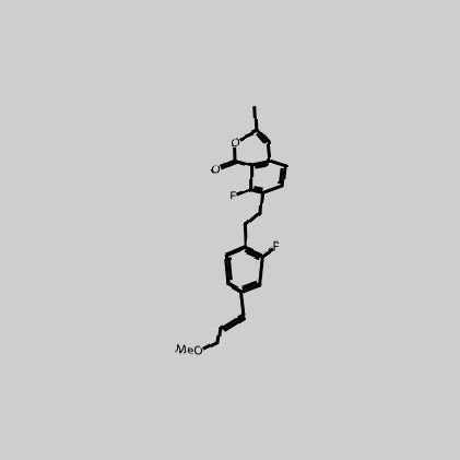 COC/C=C/c1ccc(CCc2ccc3cc(C)oc(=O)c3c2F)c(F)c1